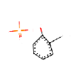 CCCCCc1ccccc1O.O=P(O)(O)O